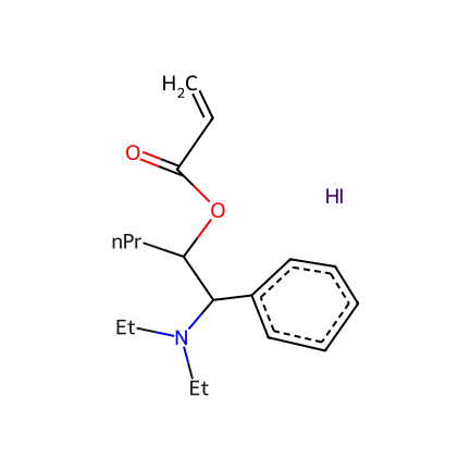 C=CC(=O)OC(CCC)C(c1ccccc1)N(CC)CC.I